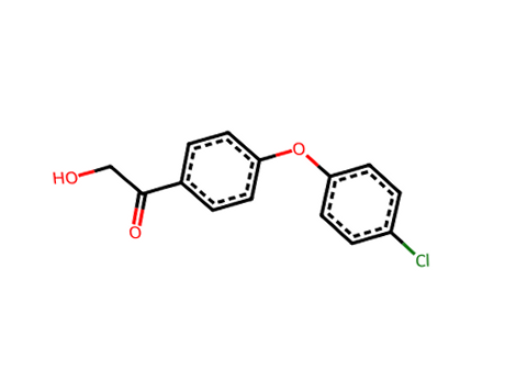 O=C(CO)c1ccc(Oc2ccc(Cl)cc2)cc1